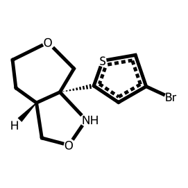 Brc1csc([C@@]23COCC[C@H]2CON3)c1